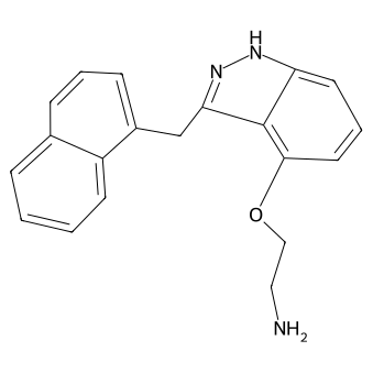 NCCOc1cccc2[nH]nc(Cc3cccc4ccccc34)c12